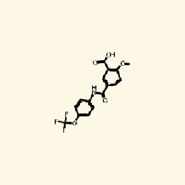 COc1ccc(C(=O)Nc2ccc(OC(F)(F)F)cc2)cc1C(=O)O